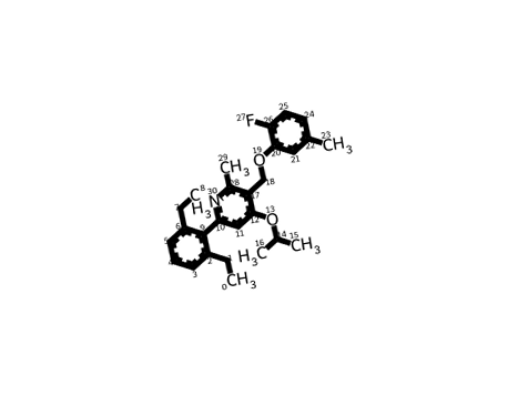 CCc1cccc(CC)c1-c1cc(OC(C)C)c(COc2cc(C)ccc2F)c(C)n1